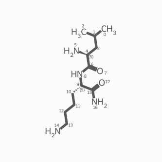 CC(C)C[C@H](N)C(=O)N[C@@H](CCCCN)C(N)=O